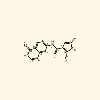 Cc1cc(C(=O)Nc2ccc3c(=O)[nH]ccc3c2)c(Cl)s1